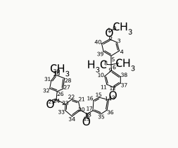 COc1ccc(C(C)(C)c2ccc(Oc3ccc(C(=O)c4ccc(C(=O)c5ccc(C)cc5)cc4)cc3)cc2)cc1